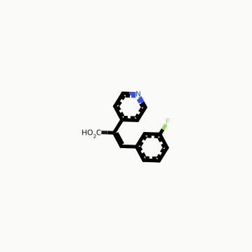 O=C(O)C(=Cc1cccc(F)c1)c1ccncc1